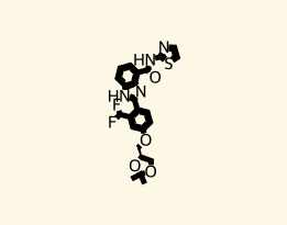 CC1(C)OC[C@H](COc2ccc(-c3nc4c(C(=O)Nc5nccs5)cccc4[nH]3)c(C(F)F)c2)O1